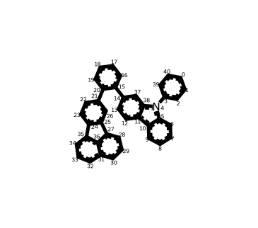 c1ccc(-n2c3ccccc3c3ccc(-c4ccccc4-c4ccc5c(c4)-c4cccc6cccc-5c46)cc32)cc1